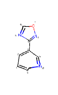 [c]1ccc(-c2ncon2)cn1